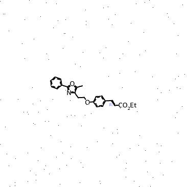 CCOC(=O)/C=C/c1ccc(OCCc2nc(-c3ccccc3)oc2C)cc1